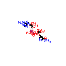 NC(=O)c1cncc(CO[C@H](COP(=O)(O)OP(=O)(O)OC[C@H]2O[C@@H](n3cnc4c(N)ncnc43)C(O)C2O)C(O)CO)c1